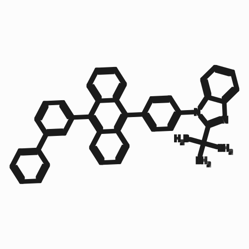 BC(B)(B)c1nc2ccccc2n1-c1ccc(-c2c3ccccc3c(-c3cccc(-c4ccccc4)c3)c3ccccc23)cc1